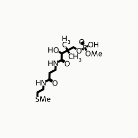 COP(=O)(O)OCC(C)(C)C(O)C(=O)NCCC(=O)NCCSC